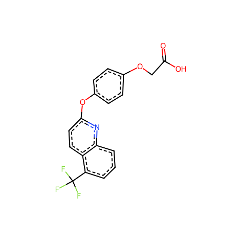 O=C(O)COc1ccc(Oc2ccc3c(C(F)(F)F)cccc3n2)cc1